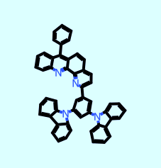 c1ccc(-c2c3ccccc3nc3c2ccc2ccc(-c4cc(-n5c6ccccc6c6ccccc65)cc(-n5c6ccccc6c6ccccc65)c4)nc23)cc1